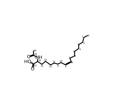 CCCCCCCC/C=C\CCCCCCC(NC(C)=O)C(=O)O